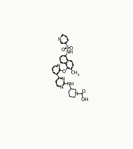 Cc1ccc2c(NS(=O)(=O)c3cccnc3)cccc2c1Oc1ncccc1-c1ccnc(NC2CCCN(C(=O)O)C2)n1